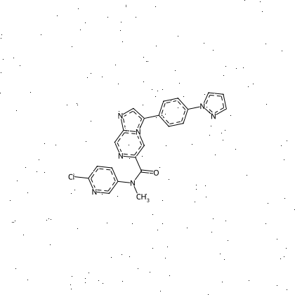 CN(C(=O)c1cn2c(-c3ccc(-n4cccn4)cc3)cnc2cn1)c1ccc(Cl)nc1